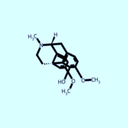 COC1=C[C@]23CCN(C)[C@H](Cc4ccc(OC)c(O)c42)C3=CC1